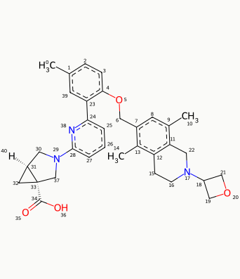 Cc1ccc(OCc2cc(C)c3c(c2C)CCN(C2COC2)C3)c(-c2cccc(N3C[C@@H]4C[C@]4(C(=O)O)C3)n2)c1